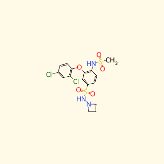 CS(=O)(=O)Nc1ccc(S(=O)(=O)NN2CCC2)cc1Oc1ccc(Cl)cc1Cl